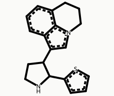 c1csc(C2NCCC2c2cn3c4c(cccc24)CCC3)c1